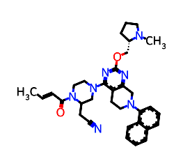 C/C=C/C(=O)N1CCN(c2nc(OC[C@@H]3CCCN3C)nc3c2CCN(c2cccc4ccccc24)C3)CC1CC#N